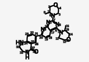 CC1COCCN1c1nc(N2CCOCC2C)c2ccc(-c3ccc4c(c3)C(=O)NCCN4)nc2n1